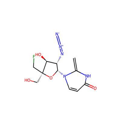 C=C1NC(=O)C=CN1[C@@H]1O[C@@](CO)(CF)[C@@H](O)[C@@H]1N=[N+]=[N-]